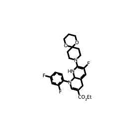 CCOC(=O)C1=CN(c2ccc(F)cc2F)C2NC(N3CCC4(CC3)OCCCO4)=C(F)C=C2C1